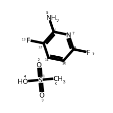 CS(=O)(=O)O.Nc1nc(F)ccc1F